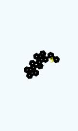 c1ccc2c(c1)-c1ccccc1C21c2ccccc2-c2c1cc1c3cccc4c5c(cc(c6cccc2c61)c43)C1(c2ccccc2-c2ccccc21)c1cc(-c2cccc3c2sc2ccccc23)ccc1-5